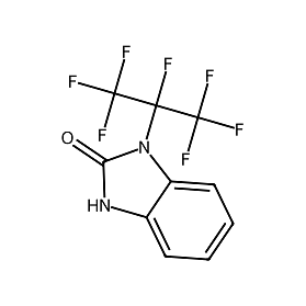 O=c1[nH]c2ccccc2n1C(F)(C(F)(F)F)C(F)(F)F